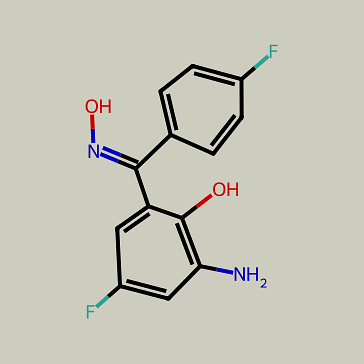 Nc1cc(F)cc(C(=NO)c2ccc(F)cc2)c1O